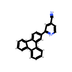 N#Cc1ccnc(-c2ccc3c4ccccc4c4ccccc4c3c2)c1